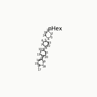 CCCCCC[C@H]1CC[C@H](c2ccc(-c3ccc(C4=CCC(C)CC4)cc3)cc2)CC1